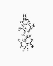 CC1CC(C)(C)c2c(F)ccc(CNC(=O)c3c[nH]nc3C(F)F)c21